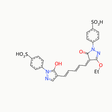 CCOC1=NN(c2ccc(S(=O)(=O)O)cc2)C(=O)C1=CC=CC=Cc1cnn(-c2ccc(S(=O)(=O)O)cc2)c1O